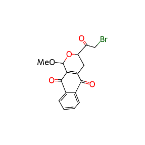 COC1OC(C(=O)CBr)CC2=C1C(=O)c1ccccc1C2=O